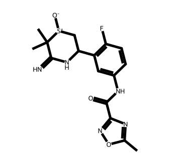 Cc1nc(C(=O)Nc2ccc(F)c(C3C[S+]([O-])C(C)(C)C(=N)N3)c2)no1